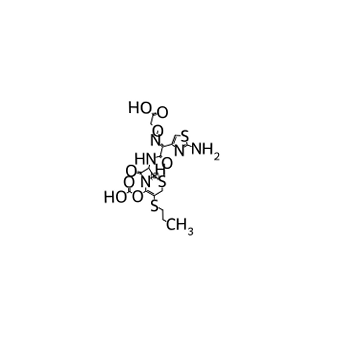 CCCSC1=C(OC(=O)O)N2C(=O)C(NC(=O)C(=NOCC(=O)O)c3csc(N)n3)[C@@H]2SC1